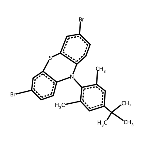 Cc1cc(C(C)(C)C)cc(C)c1N1c2ccc(Br)cc2Sc2cc(Br)ccc21